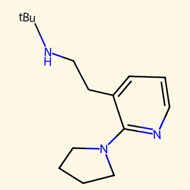 CC(C)(C)NCCc1cccnc1N1CCCC1